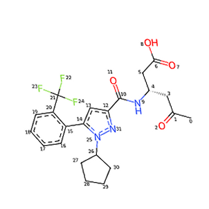 CC(=O)C[C@@H](CC(=O)O)NC(=O)c1cc(-c2ccccc2C(F)(F)F)n(C2CCCC2)n1